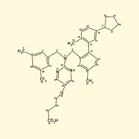 Cc1cc(CN(Cc2cc(C)ccc2-c2cc(C3CCCC3)ccc2C)c2ncc(OCCCC(=O)O)cn2)cc(C(F)(F)F)c1